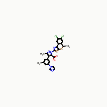 Cc1cc(-c2c(C)nn(-c3nc4c(s3)SC(C)c3cc(Cl)c(Cl)cc3-4)c2C(=O)O)cc(-n2ccnc2)c1